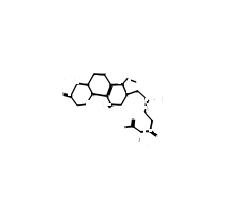 C=C(CC[C@@H](C)[C@H]1CCC2C3=C(C(=O)C[C@@]21C)[C@@]1(C)CCC(=O)[C@@H](C)C1C[C@@H]3O)[C@@H](C)C(=O)O